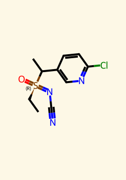 CC[S@](=O)(=NC#N)C(C)c1ccc(Cl)nc1